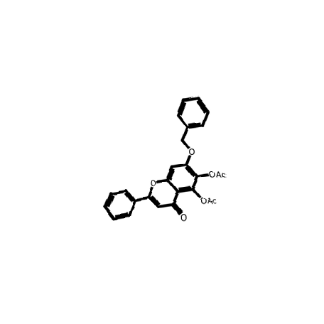 CC(=O)Oc1c(OCc2ccccc2)cc2oc(-c3ccccc3)cc(=O)c2c1OC(C)=O